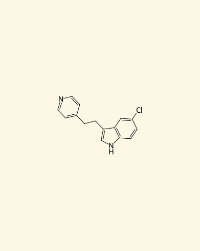 Clc1ccc2[nH]cc(CCc3ccncc3)c2c1